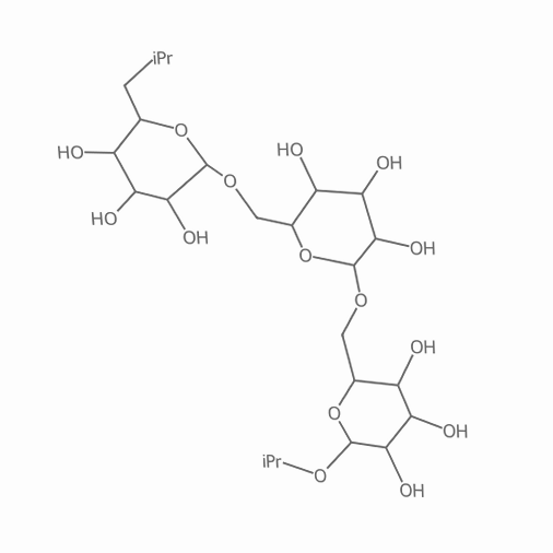 CC(C)CC1OC(OCC2OC(OCC3OC(OC(C)C)C(O)C(O)C3O)C(O)C(O)C2O)C(O)C(O)C1O